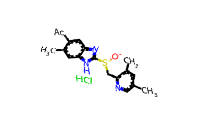 CC(=O)c1cc2nc([S+]([O-])Cc3ncc(C)cc3C)[nH]c2cc1C.Cl